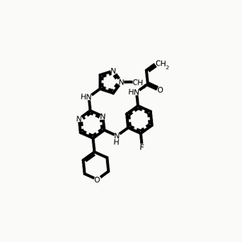 C=CC(=O)Nc1ccc(F)c(Nc2nc(Nc3cnn(C)c3)ncc2C2=CCOCC2)c1